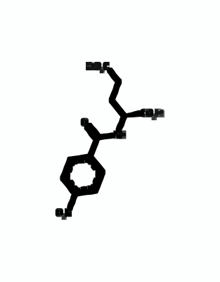 CCOC(=O)CC[C@H](NC(=O)c1ccc([N+](=O)[O-])cc1)C(=O)OCC